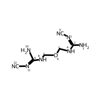 N#C/N=C(/N)NCOCN/C(N)=N/C#N